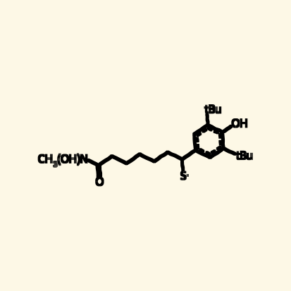 CN(O)C(=O)CCCCCC([S])c1cc(C(C)(C)C)c(O)c(C(C)(C)C)c1